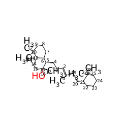 C/C(=C\CC[C@@H]1C2CCCC(C)(C)[C@@H]2CC[C@@]1(C)O)CC[C@@H]1CCCCC1(C)C